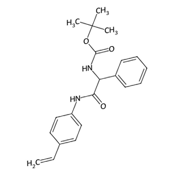 C=Cc1ccc(NC(=O)C(NC(=O)OC(C)(C)C)c2ccccc2)cc1